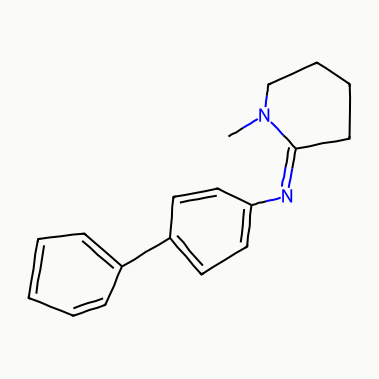 CN1CCCCC1=Nc1ccc(-c2ccccc2)cc1